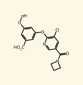 CCCOc1cc(Oc2ncc(C(=O)N3CCC3)cc2Cl)cc(C(=O)O)c1